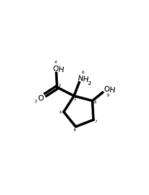 NC1(C(=O)O)CCCC1O